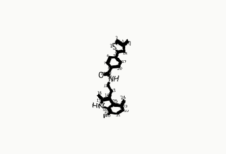 Cc1csc(-c2ccc(C(=O)NCCc3c(C)[nH]c4c(F)ccc(C)c34)cc2)c1